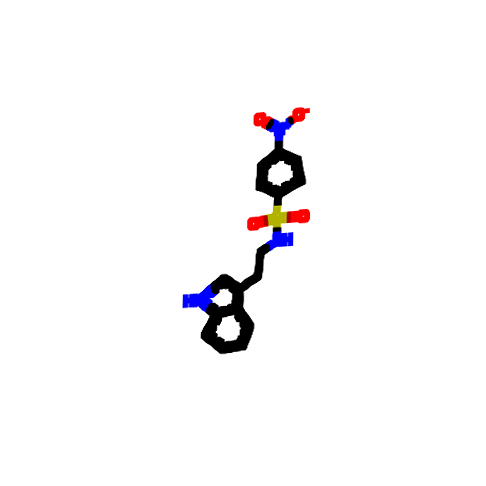 O=[N+]([O-])c1ccc(S(=O)(=O)NCCc2c[nH]c3ccccc23)cc1